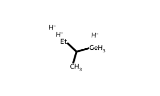 CC[CH](C)[GeH3].[H-].[H-].[H-]